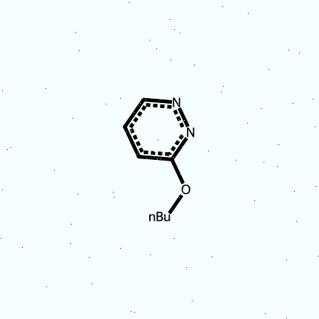 CCCCOc1cccnn1